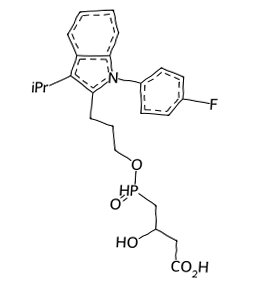 CC(C)c1c(CCCO[PH](=O)CC(O)CC(=O)O)n(-c2ccc(F)cc2)c2ccccc12